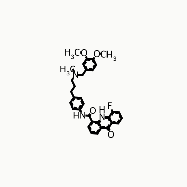 COc1ccc(CN(C)CCCc2ccc(NC(=O)c3cccc4c(=O)c5cccc(F)c5[nH]c34)cc2)cc1OC